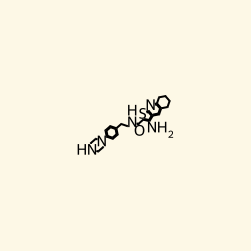 Nc1c(C(=O)NCCc2ccc(N3CCNCC3)cc2)sc2nc3c(cc12)CCCC3